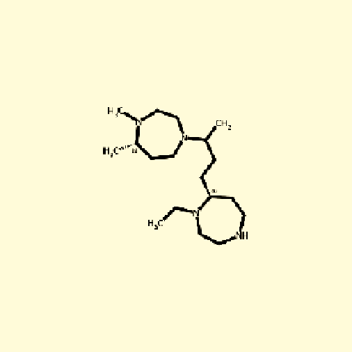 CCN1CCNCC[C@@H]1CCC(C)N1CC[C@H](C)N(C)CC1